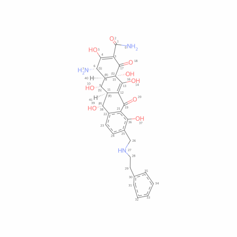 NC(=O)C1=C(O)[C@@H](N)[C@@H]2[C@@H](O)[C@H]3C(=C(O)[C@]2(O)C1=O)C(=O)c1c(ccc(CNCCc2ccccc2)c1O)[C@@H]3O